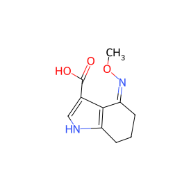 CO/N=C1/CCCc2[nH]cc(C(=O)O)c21